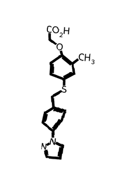 Cc1cc(SCc2ccc(-n3cccn3)cc2)ccc1OCC(=O)O